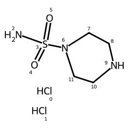 Cl.Cl.NS(=O)(=O)N1CCNCC1